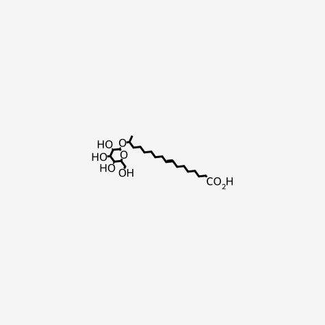 CC(CCCCCC/C=C/CCCCCCC(=O)O)O[C@@H]1OC(CO)[C@@H](O)C(O)[C@@H]1O